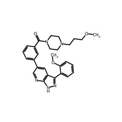 COCCCN1CCN(C(=O)c2cccc(-c3cnc4[nH]nc(-c5ccccc5OC)c4c3)c2)CC1